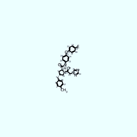 Cc1ccc(C[C@@H]2C[C@@H](C(=O)Nc3ccc(Oc4ccc(F)cc4)cc3)N(C(=O)Cn3cncn3)C2)cc1